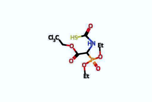 CCOP(=O)(OCC)C(NC(=O)S)C(=O)OCC(Cl)(Cl)Cl